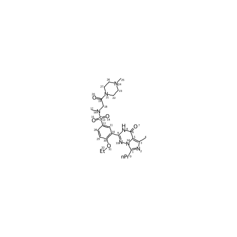 CCCc1nc(C)c2c(=O)[nH]c(-c3cc(S(=O)(=O)N(C)CC(=O)N4CCN(C)CC4)ccc3OCC)nn12